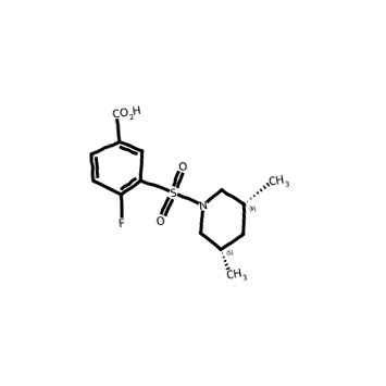 C[C@@H]1C[C@H](C)CN(S(=O)(=O)c2cc(C(=O)O)ccc2F)C1